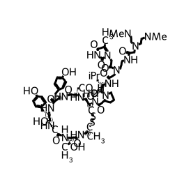 CNCCN(CCNC)CC(=O)NCCN(CC(=O)N[C@@H](CC(C)C)[C@@H](O)N1CCCC1C(=O)N[C@H]1CSSC[C@@H](C)NC(=O)[C@H](C(C)O)NC(=O)CN[C@@H](O)[C@H](Cc2ccc(O)cc2)NC(=O)[C@H](Cc2ccc(O)cc2)NC(=O)[C@H](CC(=O)O)NC1=O)C(=O)Cn1cc(C)c(=O)[nH]c1=O